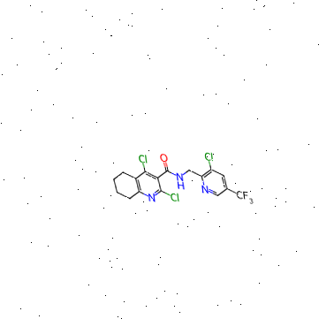 O=C(NCc1ncc(C(F)(F)F)cc1Cl)c1c(Cl)nc2c(c1Cl)CCCC2